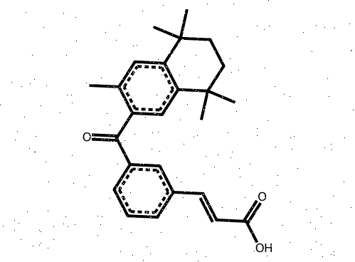 Cc1cc2c(cc1C(=O)c1cccc(/C=C/C(=O)O)c1)C(C)(C)CCC2(C)C